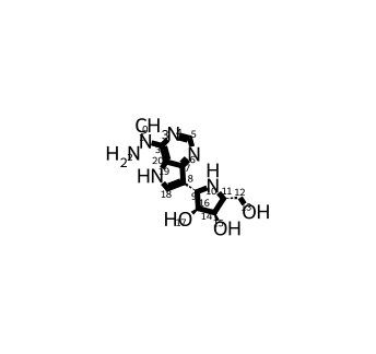 CN(N)c1ncnc2c([C@@H]3N[C@H](CO)[C@@H](O)[C@H]3O)c[nH]c12